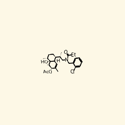 CCC(=O)N(Cc1ccccc1Cl)C[C@@H](C)[C@@H]1CC[C@@H](C)[C@]2(O)[C][C@@H](OC(C)=O)C(C)=C[C@H]12